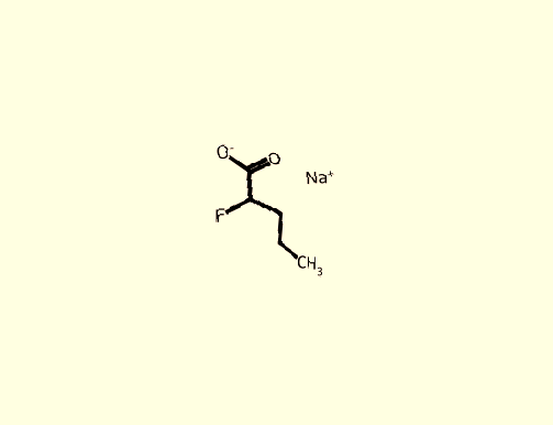 CCCC(F)C(=O)[O-].[Na+]